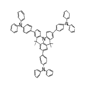 CC1(C)c2cc(-c3ccc(N(C4=CCCC=C4)c4ccccc4)cc3)ccc2N2c3ccc(-c4ccc(N(c5ccccc5)c5ccccc5)cc4)cc3C(C)(C)c3cc(-c4ccc(N(c5ccccc5)c5ccccc5)cc4)cc1c32